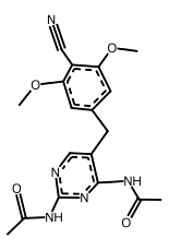 COc1cc(Cc2cnc(NC(C)=O)nc2NC(C)=O)cc(OC)c1C#N